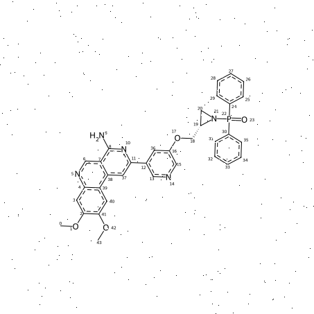 COc1cc2ncc3c(N)nc(-c4cncc(OC[C@@H]5CN5P(=O)(c5ccccc5)c5ccccc5)c4)cc3c2cc1OC